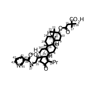 CC(C)C1=C2[C@H]3CC[C@@H]4[C@@]5(C)CC[C@H](OC(=O)CC(C)(C)C(=O)O)C(C)(C)[C@H]5CC[C@@]4(C)[C@]3(C)CC[C@@]2([C@@H](O)CN(C)C(=O)c2cccnc2)CC1=O